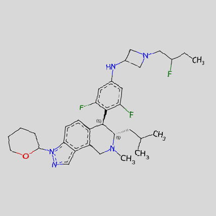 CCC(F)CN1CC(Nc2cc(F)c([C@@H]3c4ccc5c(cnn5C5CCCCO5)c4CN(C)[C@H]3CC(C)C)c(F)c2)C1